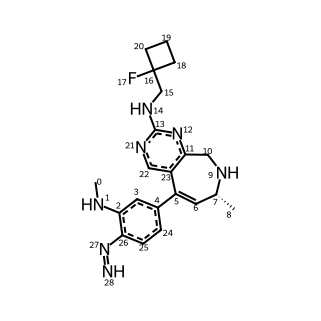 CNc1cc(C2=C[C@@H](C)NCc3nc(NCC4(F)CCC4)ncc32)ccc1N=N